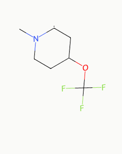 CN1[CH]CC(OC(F)(F)F)CC1